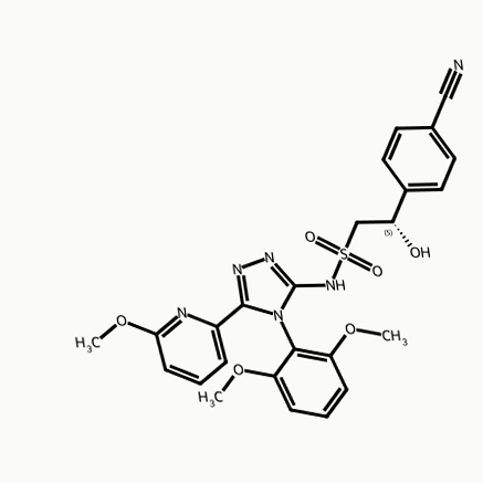 COc1cccc(-c2nnc(NS(=O)(=O)C[C@@H](O)c3ccc(C#N)cc3)n2-c2c(OC)cccc2OC)n1